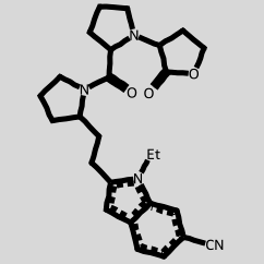 CCn1c(CCC2CCCN2C(=O)C2CCCN2C2CCOC2=O)cc2ccc(C#N)cc21